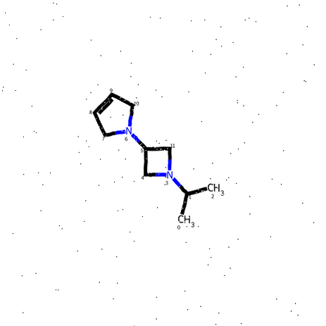 CC(C)N1CC(N2CC=CC2)C1